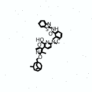 Cc1c(-c2ccc(N3CCc4cccc(C(=O)Nc5nc6ccccc6s5)c4C3)nc2C(=O)O)ccnc1OCC12CCC(CCC(C)C1)C(C)C2